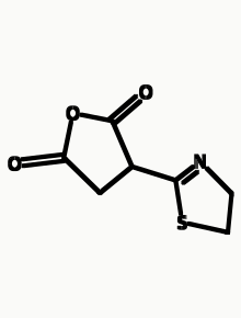 O=C1CC(C2=NCCS2)C(=O)O1